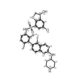 O=S(=O)(Nc1ccc(F)c(-c2ccc3nc(NC4CCNCC4)ncc3c2F)c1F)c1cc(Cl)cc2c1OC[C@H]2O